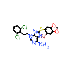 Nc1ncn(CCc2c(Cl)cccc2Cl)c2nc(Sc3cc4c(cc3Br)OCO4)nc1-2